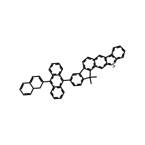 CC1(C)c2ccc(-c3c4ccccc4c(C4=CC=C5C=CC=CC5C4)c4ccccc34)cc2-c2ccc3cc4c(cc3c21)sc1ccccc14